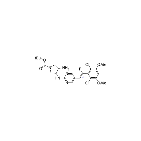 COc1cc(OC)c(Cl)c(/C(F)=C/c2cnc(NC3CN(C(=O)OC(C)(C)C)CC3N)nc2)c1Cl